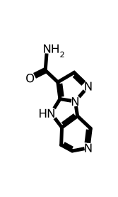 NC(=O)c1cnn2c1[nH]c1ccncc12